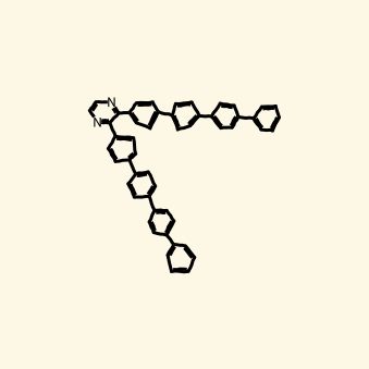 c1ccc(-c2ccc(-c3ccc(-c4ccc(-c5nccnc5-c5ccc(-c6ccc(-c7ccc(-c8ccccc8)cc7)cc6)cc5)cc4)cc3)cc2)cc1